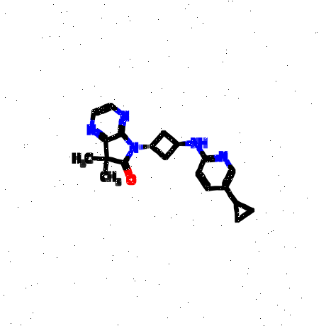 CC1(C)C(=O)N([C@H]2C[C@H](Nc3ccc(C4CC4)cn3)C2)c2nccnc21